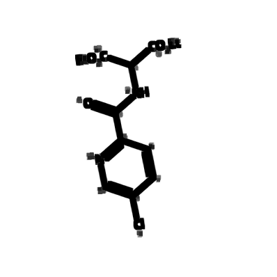 CCOC(=O)C(NC(=O)c1ccc(Cl)cn1)C(=O)OCC